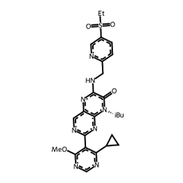 CC[C@@H](C)n1c(=O)c(NCc2ccc(S(=O)(=O)CC)cn2)nc2cnc(-c3c(OC)ncnc3C3CC3)nc21